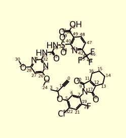 C#CC(C)Oc1cc(N2C(=O)C3=C(CCCC3)C2=O)c(F)cc1Cl.COc1cc(OC)nc(NC(=O)NS(=O)(=O)c2nc(C(F)(F)F)ccc2C(=O)O)n1